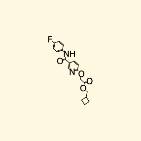 O=C(COc1ccc(C(=O)Nc2ccc(F)cc2)cn1)OCC1CCC1